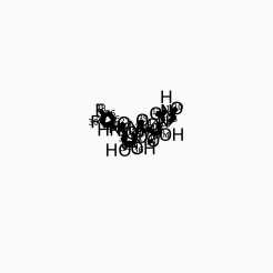 CO[C@H]1[C@@H](O)[C@H](n2ccc(=O)[nH]c2=O)O[C@@H]1[C@@H](O[C@H]1OC(C(=O)Nc2ccc(F)c(F)c2)=C[C@H](O)[C@@H]1O)C(N)=O